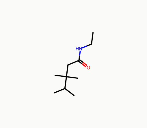 CCNC(=O)CC(C)(C)C(C)C